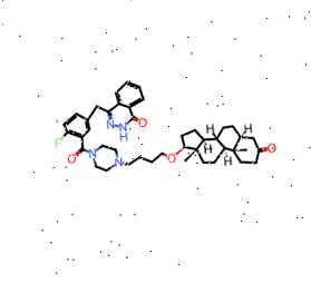 C[C@]12CCC(=O)C[C@@H]1CC[C@@H]1[C@@H]2CC[C@]2(C)[C@@H](OCCCCN3CCN(C(=O)c4cc(Cc5n[nH]c(=O)c6ccccc56)ccc4F)CC3)CC[C@@H]12